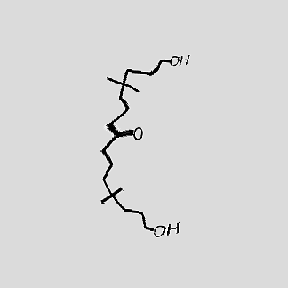 CC(C)(CCCO)CCCC(=O)CCCC(C)(C)CCCO